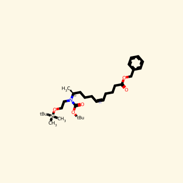 C[C@@H](CCC/C=C\CCCC(=O)OCc1ccccc1)N(CCO[Si](C)(C)C(C)(C)C)C(=O)OC(C)(C)C